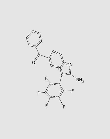 Nc1nc2ccc(C(=O)c3ccccc3)cn2c1-c1c(F)c(F)c(F)c(F)c1F